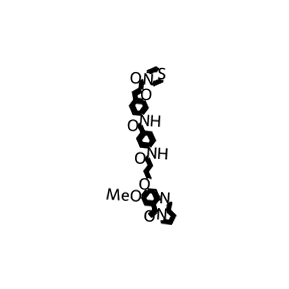 COc1cc2c(cc1OCCCC(=O)Nc1ccc(C(=O)Nc3ccc4cc(C(=O)N5CCSCC5)oc4c3)cc1)N=CC1CCCN1C2=O